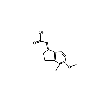 COc1ccc2c(c1C)CCC2=CC(=O)O